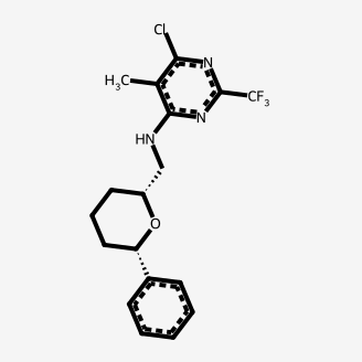 Cc1c(Cl)nc(C(F)(F)F)nc1NC[C@H]1CCC[C@@H](c2ccccc2)O1